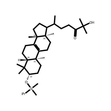 CC(CCC(=O)C(C)(C)O)C1CC[C@@]2(C)C3=C(CC[C@]12C)[C@@]1(C)CC[C@H](O[Si](C)(C)C(C)C)C(C)(C)[C@@H]1CC3